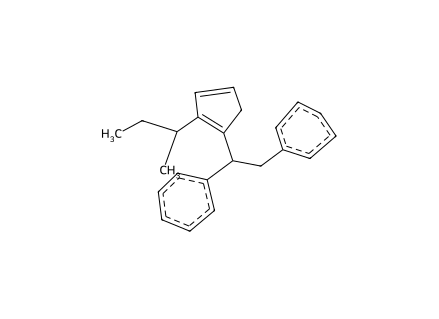 CCC(C)C1=C(C(Cc2ccccc2)c2ccccc2)CC=C1